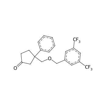 O=C1CCC(COCc2cc(C(F)(F)F)cc(C(F)(F)F)c2)(c2ccccc2)C1